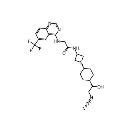 [N-]=[N+]=NCC(O)[C@H]1CC[C@@H](N2CC(NC(=O)CNc3ncnc4ccc(C(F)(F)F)cc34)C2)CC1